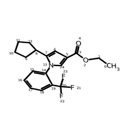 CCOC(=O)c1cc(C2CCCC2)n(-c2ccccc2C(F)(F)F)c1